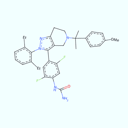 CCc1cccc(CC)c1-n1nc2c(c1-c1cc(F)c(NC(N)=O)cc1F)CN(C(C)(C)c1ccc(OC)cc1)CC2